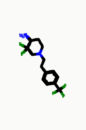 NC1CCN(CCc2ccc(C(F)(F)F)cc2)CC1(F)F